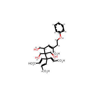 O=C(O)C=CC(C=CC(=O)O)(C=CC(=O)O)C(CO)(CO)C(C=C(CCOc1ccccc1)C(=O)O)CO